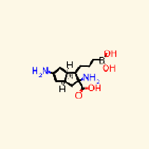 NC1C[C@@H]2CC(N)(C(=O)O)C(CCCB(O)O)[C@@H]2C1